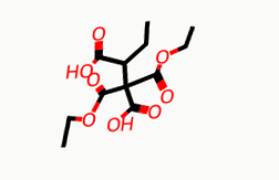 CCOC(=O)C(C(=O)O)(C(=O)OCC)C(CC)C(=O)O